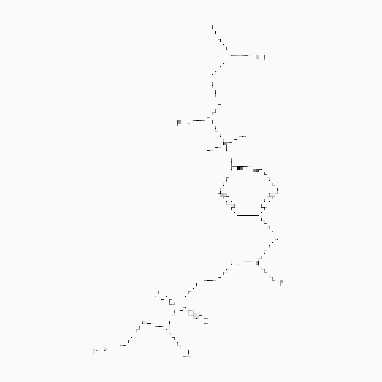 CCCC(CCCS(=O)(=O)C(CC)CCC(C)C)Oc1ccc(C(C)(C)C(CC)CCC(C)O)cc1